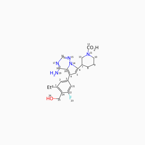 CCc1cc(-c2cc(C3CCCN(C(=O)O)C3)n3ncnc(N)c23)cc(F)c1CO